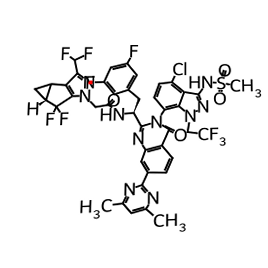 Cc1cc(C)nc(-c2ccc3c(=O)n(-c4ccc(Cl)c5c(NS(C)(=O)=O)nn(CC(F)(F)F)c45)c([C@H](Cc4cc(F)cc(F)c4)NC(=O)Cn4nc(C(F)F)c5c4C(F)(F)[C@@H]4CC54)nc3c2)n1